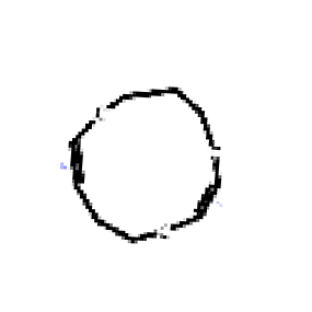 C1=C\CCCCC/C=C\CCC/1